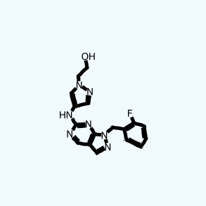 OCCn1cc(Nc2ncc3cnn(Cc4[c]cccc4F)c3n2)cn1